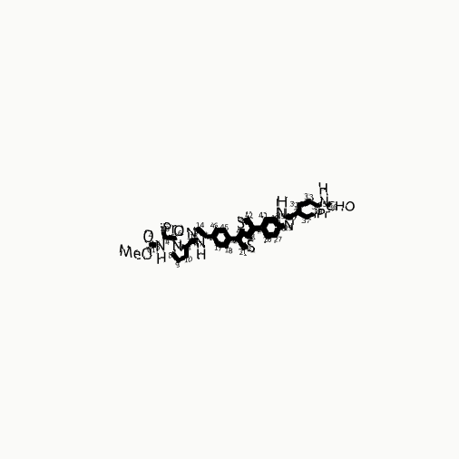 COC(=O)NC(C(=O)N1CCCC1c1ncc(-c2ccc(-c3csc4c(-c5ccc6nc(C(/C=C\CNC=O)CC(C)C)[nH]c6c5)csc34)cc2)[nH]1)C(C)C